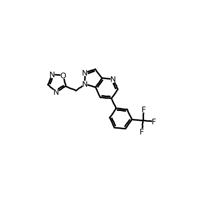 FC(F)(F)c1cccc(-c2cnc3cnn(Cc4ncno4)c3c2)c1